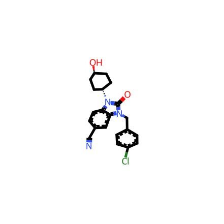 N#Cc1ccc2c(c1)n(Cc1ccc(Cl)cc1)c(=O)n2[C@H]1CC[C@H](O)CC1